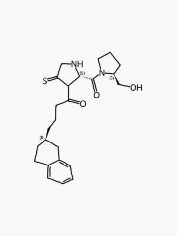 O=C(CCC[C@@H]1CCc2ccccc2C1)C1C(=S)CN[C@@H]1C(=O)N1CCC[C@H]1CO